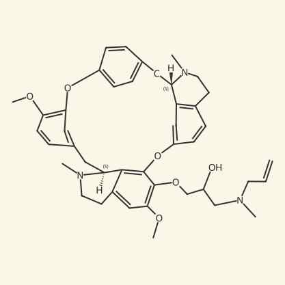 C=CCN(C)CC(O)COc1c(OC)cc2c3c1Oc1ccc4c(c1)[C@H](Cc1ccc(cc1)Oc1cc(ccc1OC)C[C@@H]3N(C)CC2)N(C)CC4